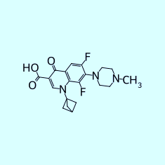 CN1CCN(c2c(F)cc3c(=O)c(C(=O)O)cn(C45CC(C4)C5)c3c2F)CC1